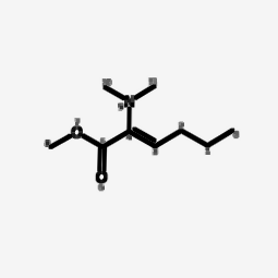 CCCC=C(C(=O)OC)N(C)C